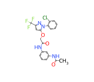 CC(=O)Nc1cccc(NC(=O)COc2cc(C(F)(F)F)nn2-c2ccccc2Cl)c1